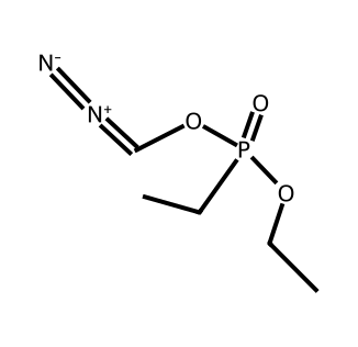 CCOP(=O)(CC)OC=[N+]=[N-]